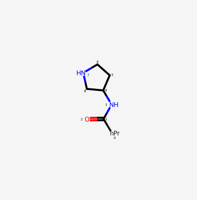 CCCC(=O)NC1CCNC1